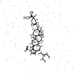 C=C(C)[C@@H]1CC[C@]2(CCN(CC)CC)CC[C@]3(C)[C@H](CC[C@@H]4[C@@]5(C)CC[C@H](OC(=O)CC(C)(C)C(=O)O)C(C)(C)[C@@H]5CC[C@]43C)[C@@H]12